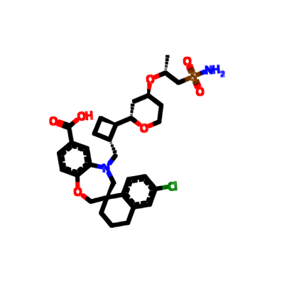 C[C@H](CS(N)(=O)=O)O[C@H]1CCO[C@H]([C@@H]2CC[C@H]2CN2C[C@@]3(CCCc4cc(Cl)ccc43)COc3ccc(C(=O)O)cc32)C1